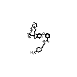 CN1CCN(CCCNC(=O)c2cccc(Oc3cc4c(cn3)nc(-c3nonc3N)n4CCN3CCOCC3)c2)CC1